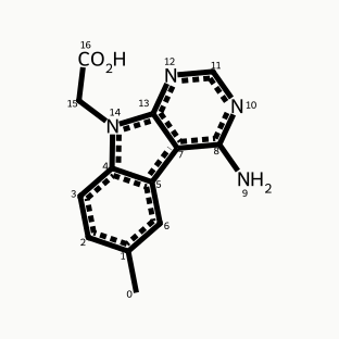 Cc1ccc2c(c1)c1c(N)ncnc1n2CC(=O)O